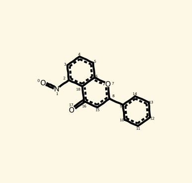 O=Nc1cccc2oc(-c3ccccc3)cc(=O)c12